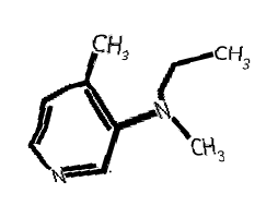 CCN(C)c1[c]nccc1C